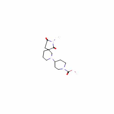 CON1C(=O)CC2(CCCN(C3CCN(C(=O)OC(C)(C)C)CC3)C2)C1=O